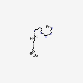 CC/C=C\C/C=C\C/C=C\C/C=C\C/C=C\C/C=C\CCC(=O)NCCCCCCONC(C)(C)C